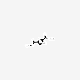 COC(=O)c1nc(C(=O)OC(C)(C)C)c[nH]1